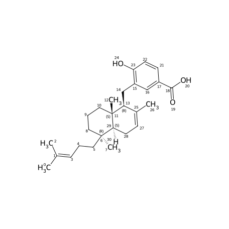 CC(C)=CCC[C@@]1(C)CCC[C@]2(C)[C@@H](Cc3cc(C(=O)O)ccc3O)C(C)=CC[C@@H]12